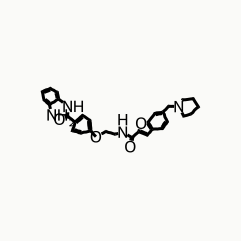 Nc1ccccc1NC(=O)c1ccc(OCCNC(=O)c2cc3ccc(CN4CCCCC4)cc3o2)cc1